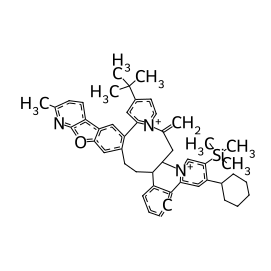 C=C1CC2C(CCc3cc4oc5nc(C)ccc5c4cc3-c3cc(C(C)(C)C)cc[n+]31)c1ccccc1-c1cc(C3CCCCC3)c([Si](C)(C)C)c[n+]12